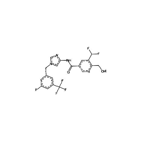 O=C(Nc1cn(Cc2cc(F)cc(C(F)(F)F)c2)cn1)c1cnc(CO)c(C(F)F)c1